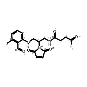 Cc1cccc(OCC(CNC(=O)CCC(=O)F)N2C(=O)C=CC2=O)c1C=O